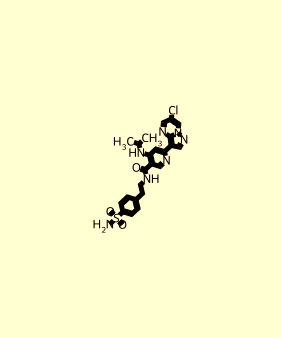 CC(C)Nc1cc(-c2cnn3cc(Cl)cnc23)ncc1C(=O)NCCc1ccc(S(N)(=O)=O)cc1